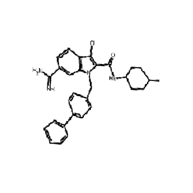 CC1CCC(NC(=O)c2c(Cl)c3ccc(C(=N)N)cc3n2Cc2ccc(-c3ccccc3)cc2)CC1